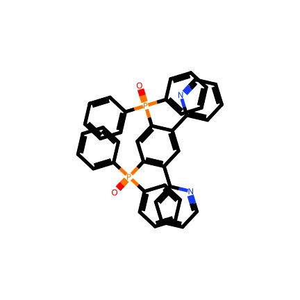 O=P(c1ccccc1)(c1ccccc1)c1cc(P(=O)(c2ccccc2)c2ccccc2)c(-c2ccccn2)cc1-c1ccccn1